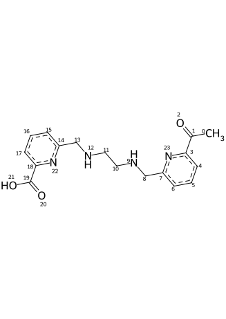 CC(=O)c1cccc(CNCCNCc2cccc(C(=O)O)n2)n1